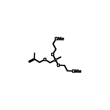 C=C(C)COC[Si](C)(OCCOC)OCCOC